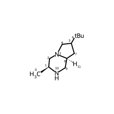 C[C@H]1CN2CC(C(C)(C)C)C[C@H]2CN1